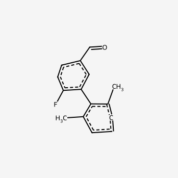 Cc1cccc(C)c1-c1cc(C=O)ccc1F